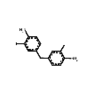 Nc1ccc(Cc2ccc(N)c(I)c2)cc1I